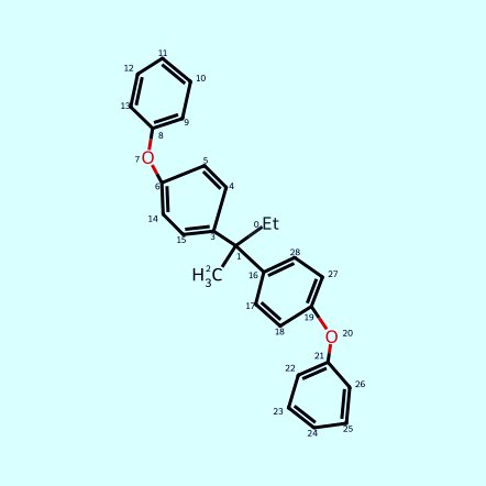 CCC(C)(c1ccc(Oc2ccccc2)cc1)c1ccc(Oc2ccccc2)cc1